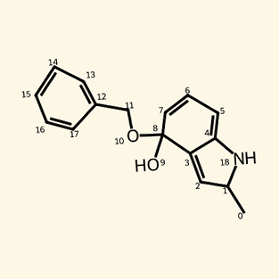 CC1C=C2C(=CC=CC2(O)OCc2ccccc2)N1